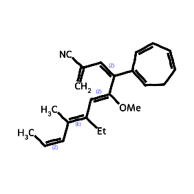 C=C(C#N)\C=C(C1=CCC=CC=C1)/C(=C/C(CC)=C(C)/C=C\C)OC